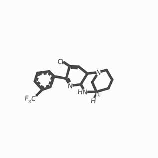 FC(F)(F)c1cccc(C2=NC3N[C@H]4CCCN(C4)C3C=C2Cl)c1